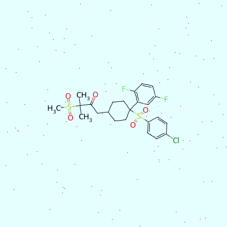 CC(C)(C(=O)CC1CCC(c2cc(F)ccc2F)(S(=O)(=O)c2ccc(Cl)cc2)CC1)S(C)(=O)=O